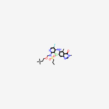 CCCS(=O)(=O)N(COCC[Si](C)(C)C)c1ncc(F)c(Nc2ccc3ncn(C)c(=O)c3c2C)c1Cl